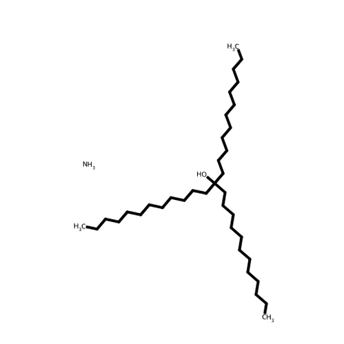 CCCCCCCCCCCCC(O)(CCCCCCCCCCCC)CCCCCCCCCCCC.N